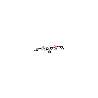 C=Cc1ccc(CCCOC(=O)/C(C#N)=C/c2ccc(N(c3ccccc3)c3ccc(/C=C(\C#N)C(=O)OCCCc4ccc(C=C)cc4)cc3)cc2)cc1